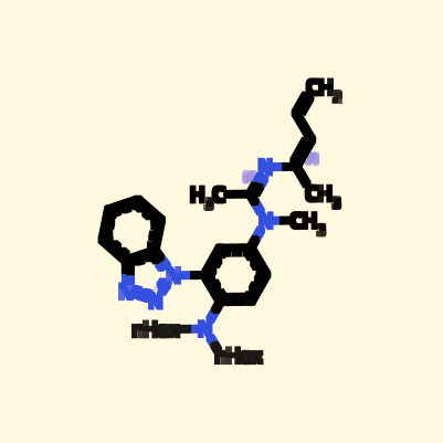 C=C/C=C(C)\N=C(\C)N(C)c1ccc(N(CCCCCC)CCCCCC)c(-n2nnc3ccccc32)c1